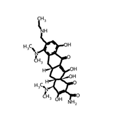 CCNCc1cc(O)c2c(c1N(C)C)C[C@H]1C[C@H]3[C@H](N(C)C)C(O)=C(C(N)=O)C(=O)[C@@]3(O)C(O)=C1C2=O